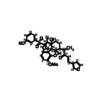 COc1ccc2c3c1O[C@H]1[C@H](N(C)C(=O)/C=C/c4ccoc4)CC[C@@]4(O)[C@@H](C2)N(S(=O)(=O)c2cccc(C#N)c2)CC[C@]314